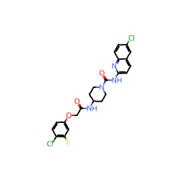 O=C(COc1ccc(Cl)c(F)c1)NC1CCN(C(=O)Nc2ccc3cc(Cl)ccc3n2)CC1